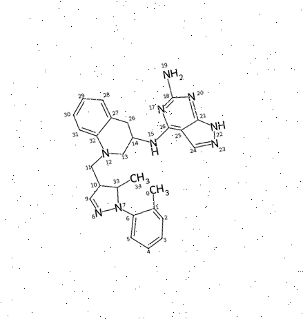 Cc1ccccc1N1N=CC(CN2CC(Nc3nc(N)nc4[nH]ncc34)Cc3ccccc32)C1C